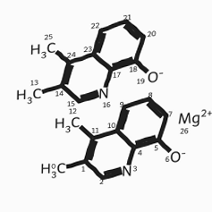 Cc1cnc2c([O-])cccc2c1C.Cc1cnc2c([O-])cccc2c1C.[Mg+2]